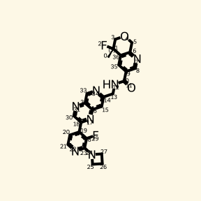 C[C@@]1(F)COCc2ncc(C(=O)NCc3cc4nc(-c5ccnc(N6CCC6)c5F)cnc4cn3)cc21